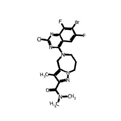 Cc1c(C(=O)N(C)C)nn2c1CN(c1nc(Cl)nc3c(F)c(Br)c(F)cc13)CCC2